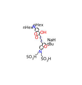 CCCCCCN(CCCCCC)c1ccc2c(O)c(/C=C/C=C/c3cc(C(C)(C)C)[o+]c4cc(N(CCCS(=O)(=O)O)CCCS(=O)(=O)O)ccc34)c(=O)oc2c1.[NaH]